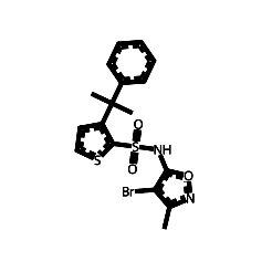 Cc1noc(NS(=O)(=O)c2sccc2C(C)(C)c2ccccc2)c1Br